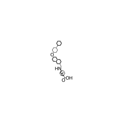 O=C(O)C12CCC(NCc3ccc4cc(O[C@H]5CC[C@H](c6ccccc6)CC5)ccc4c3)(CC1)CC2